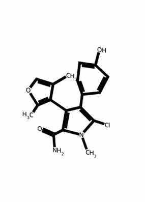 Cc1coc(C)c1-c1c(-c2ccc(O)cc2)c(Cl)n(C)c1C(N)=O